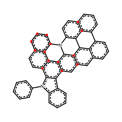 c1ccc(-c2cccc3cccc(-c4ccccc4N(c4ccccc4-c4ccc5c6ccccc6n(-c6ccccc6)c5c4)c4ccccc4-c4cccc5ccccc45)c23)cc1